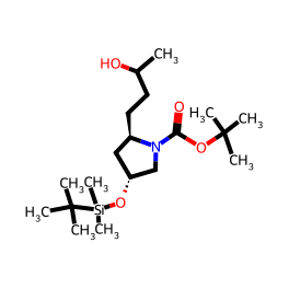 CC(O)CC[C@@H]1C[C@@H](O[Si](C)(C)C(C)(C)C)CN1C(=O)OC(C)(C)C